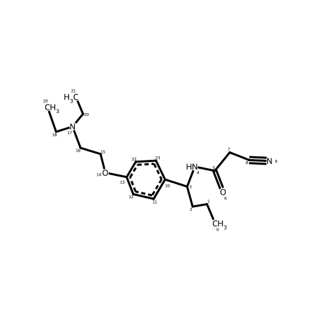 CCCC(NC(=O)CC#N)c1ccc(OCCN(CC)CC)cc1